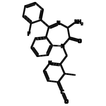 CC1C(=C=O)C=CN=C1CN1C(=O)C(N)N=C(c2ccccc2F)c2ccccc21